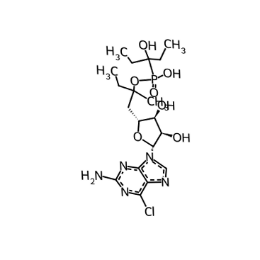 CCC(C)(C[C@H]1O[C@@H](n2cnc3c(Cl)nc(N)nc32)[C@H](O)[C@@H]1O)OP(=O)(O)C(O)(CC)CC